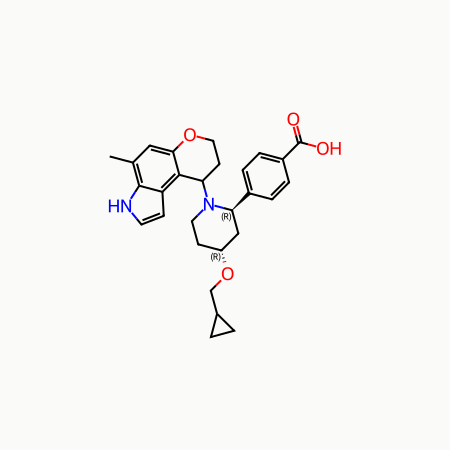 Cc1cc2c(c3cc[nH]c13)C(N1CC[C@@H](OCC3CC3)C[C@@H]1c1ccc(C(=O)O)cc1)CCO2